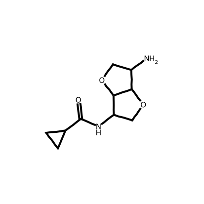 NC1COC2C(NC(=O)C3CC3)COC12